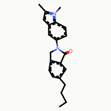 CCCCc1ccc2c(c1)C(=O)N(c1ccc3c(c1)cc(C)n3C)C2